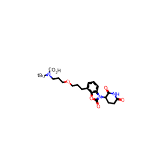 CC(C)(C)N(CCCOCCCc1cccc2c1oc(=O)n2C1CCC(=O)NC1=O)C(=O)O